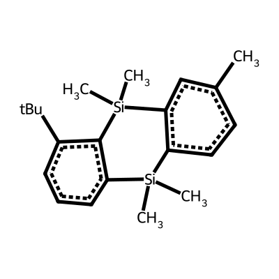 Cc1ccc2c(c1)[Si](C)(C)c1c(C(C)(C)C)cccc1[Si]2(C)C